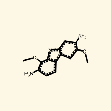 COc1cc2c(cc1N)sc1c(OC)c(N)ccc12